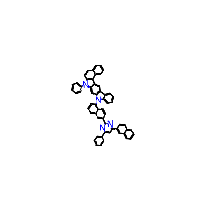 c1ccc(-c2cc(-c3ccc4ccccc4c3)nc(-c3ccc4c(-n5c6ccccc6c6cc7c8c9ccccc9ccc8n(-c8ccccc8)c7cc65)cccc4c3)n2)cc1